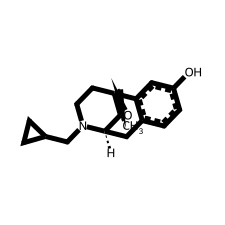 C[C@@]12OCCC[C@@]13CCN(CC1CC1)[C@@H]2Cc1ccc(O)cc13